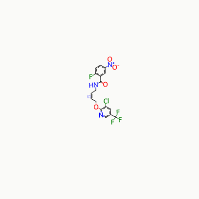 O=C(NC/C=C\COc1ncc(C(F)(F)F)cc1Cl)c1cc([N+](=O)[O-])ccc1F